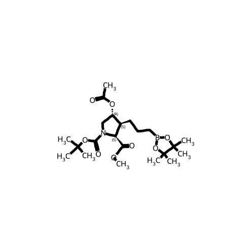 COC(=O)[C@@H]1[C@H](CCCB2OC(C)(C)C(C)(C)O2)[C@@H](OC(C)=O)CN1C(=O)OC(C)(C)C